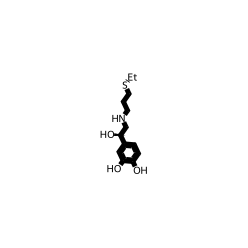 CCSCCCNC[C@H](O)c1ccc(O)c(O)c1